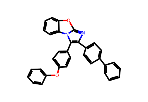 c1ccc(Oc2ccc(-c3c(-c4ccc(-c5ccccc5)cc4)nc4oc5ccccc5n34)cc2)cc1